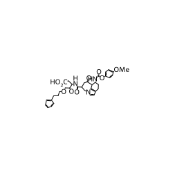 COc1ccc(OC(=O)NC2CCc3ccn4c3C2C(=O)CC(C(=O)NC(CC(=O)O)C(=O)COCCCc2ccccc2)C4)cc1